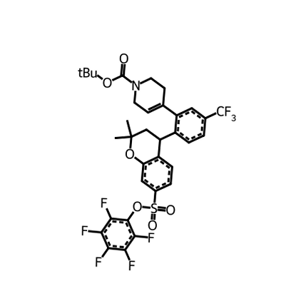 CC(C)(C)OC(=O)N1CC=C(c2cc(C(F)(F)F)ccc2C2CC(C)(C)Oc3cc(S(=O)(=O)Oc4c(F)c(F)c(F)c(F)c4F)ccc32)CC1